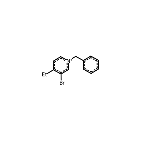 CCc1cc[n+](Cc2ccccc2)cc1Br